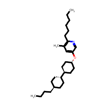 CCCCCCc1ncc(O[C@H]2CC[C@H]([C@H]3CC[C@H](CCCC)CC3)CC2)cc1C